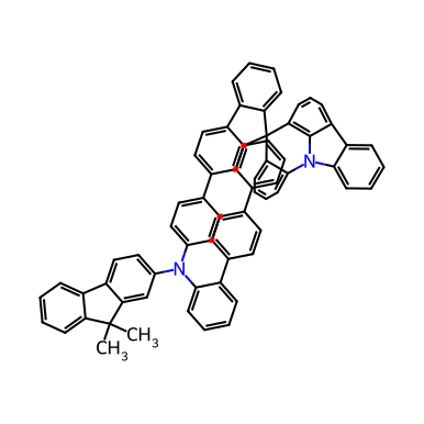 CC1(C)c2ccccc2-c2ccc(N(c3ccc(-c4ccc5c(c4)C4(c6ccccc6-5)c5ccccc5-n5c6ccccc6c6cccc4c65)cc3)c3ccccc3-c3ccc(-c4ccccc4)cc3)cc21